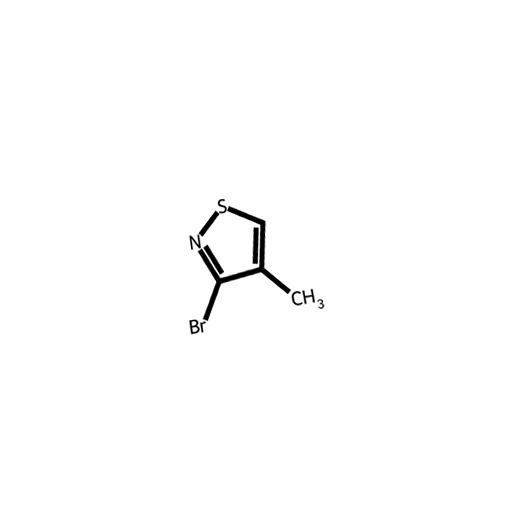 Cc1csnc1Br